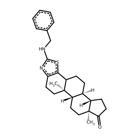 C[C@]12CCc3nc(NCc4ccccc4)sc3C1CC[C@@H]1[C@@H]2CC[C@]2(C)C(=O)CC[C@@H]12